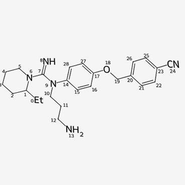 CCC1CCCCN1C(=N)N(CCCN)c1ccc(OCc2ccc(C#N)cc2)cc1